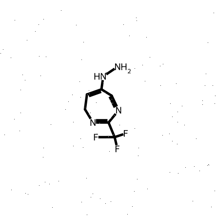 NNC1=CCN=C(C(F)(F)F)N=C1